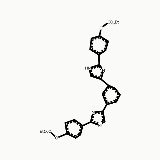 CCOC(=O)Oc1ccc(-c2nc(-c3cccc(-c4c[nH]c(-c5ccc(OC(=O)OCC)cc5)n4)c3)c[nH]2)cc1